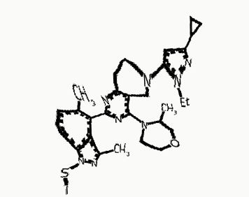 CCn1nc(C2CC2)cc1N1CCc2nc(-c3c(C)ccc4c3c(C)nn4SI)nc(N3CCOCC3C)c2C1